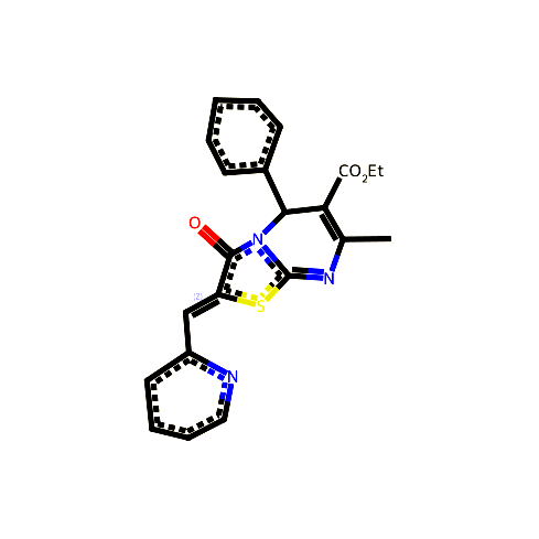 CCOC(=O)C1=C(C)N=c2s/c(=C\c3ccccn3)c(=O)n2C1c1ccccc1